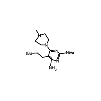 CNc1nc(N)c(CCC(C)(C)C)c(N2CCN(C)CC2)n1